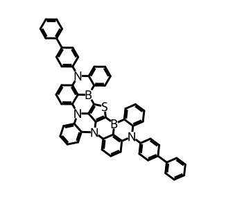 c1ccc(-c2ccc(N3c4ccccc4B4c5sc6c7c5N(c5ccccc5N7c5cccc7c5B6c5ccccc5N7c5ccc(-c6ccccc6)cc5)c5cccc3c54)cc2)cc1